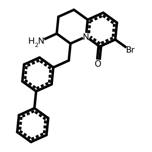 NC1CCc2ccc(Br)c(=O)n2C1Cc1cccc(-c2ccccc2)c1